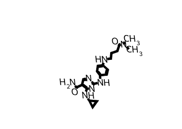 CN(C)C(=O)CCCNc1ccc(Nc2ncc(C(N)=O)c(NC3CC3)n2)cc1